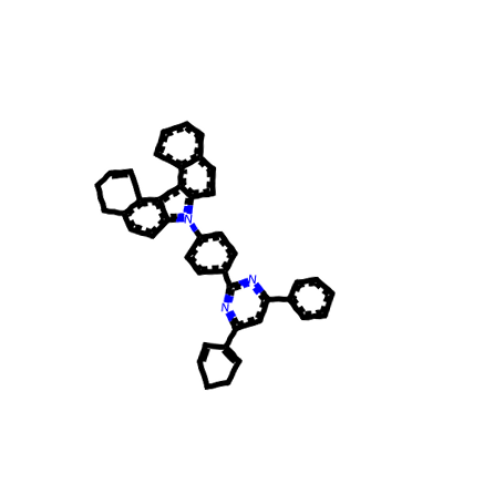 C1=CC(c2cc(-c3ccccc3)nc(-c3ccc(-n4c5ccc6c(c5c5c7ccccc7ccc54)C=CCC6)cc3)n2)=CCC1